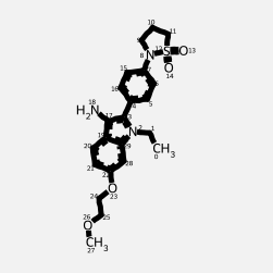 CCn1c(-c2ccc(N3CCCS3(=O)=O)cc2)c(N)c2ccc(OCCOC)cc21